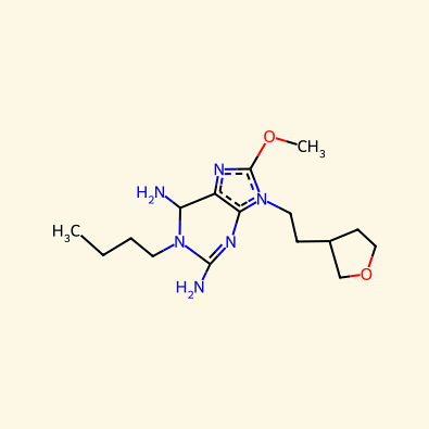 CCCCN1C(N)=Nc2c(nc(OC)n2CCC2CCOC2)C1N